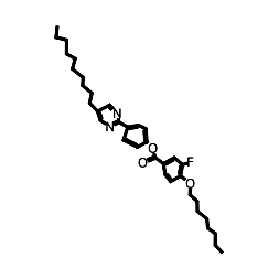 CCCCCCCCCCc1cnc(-c2ccc(OC(=O)c3ccc(OCCCCCCCC)c(F)c3)cc2)nc1